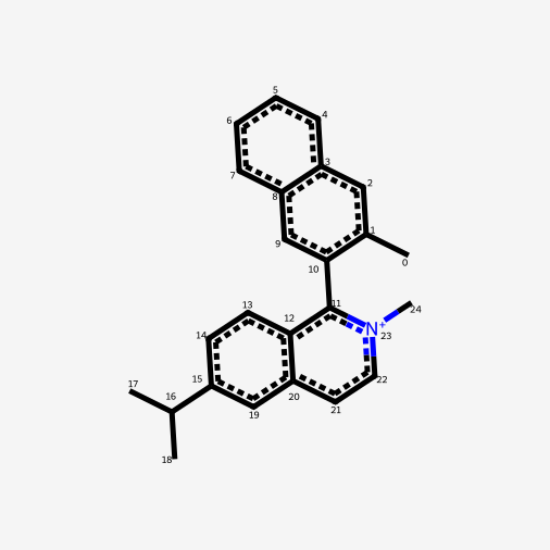 Cc1cc2ccccc2cc1-c1c2ccc(C(C)C)cc2cc[n+]1C